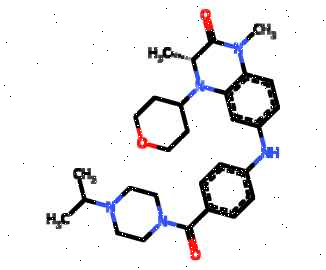 CC(C)N1CCN(C(=O)c2ccc(Nc3ccc4c(c3)N(C3CCOCC3)[C@H](C)C(=O)N4C)cc2)CC1